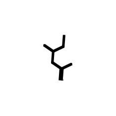 [CH]=C(C)CC(C)CC